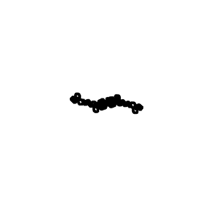 C=CC(=O)OCCCCOC(=O)c1ccc(-c2ccc(C(=O)OCCCCOC(=O)C=C)cc2)cc1